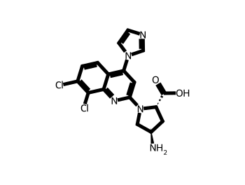 N[C@@H]1C[C@@H](C(=O)O)N(c2cc(-n3ccnc3)c3ccc(Cl)c(Cl)c3n2)C1